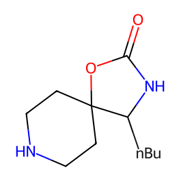 CCCCC1NC(=O)OC12CCNCC2